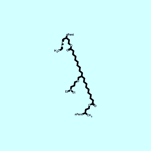 CC=C=C=CC(CCCCC)CCOC(=O)CCCCCCCCCC(CCCCCCCCCC(=O)OCCC(C)CCCCC)COCCCN(CC)CC